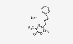 CC(=NN(C)C/C=C/c1ccccc1)C(=O)[O-].[Na+]